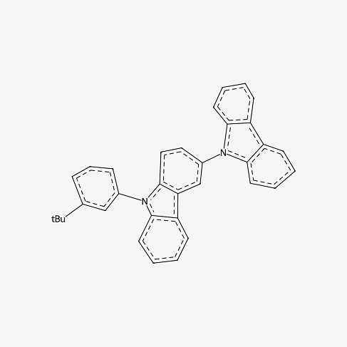 CC(C)(C)c1cccc(-n2c3ccccc3c3cc(-n4c5ccccc5c5ccccc54)ccc32)c1